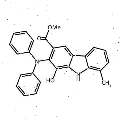 COC(=O)c1cc2c([nH]c3c(C)cccc32)c(O)c1N(c1ccccc1)c1ccccc1